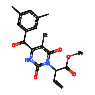 C=CC(C(=O)OC(C)C)n1c(=O)[nH]c(C(=O)c2cc(C)cc(C)c2)c(CC)c1=O